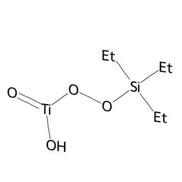 CC[Si](CC)(CC)O[O][Ti](=[O])[OH]